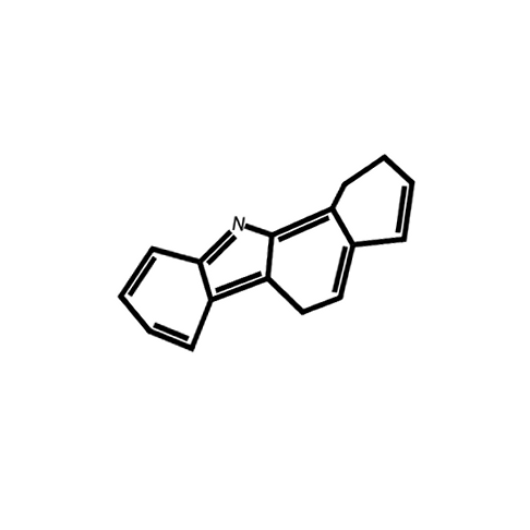 C1=CC2=CCC3=c4ccccc4=NC3=C2CC1